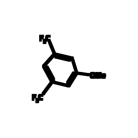 COc1cc(C(F)(F)F)cc(C(F)(F)F)c1